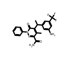 Cc1c(C(N)=O)nn(-c2ccccc2)c(=O)c1C(C)c1cc(N)cc(C(F)(F)F)c1